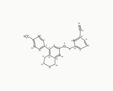 Cc1ncc(-c2cc(OCc3cccc(C#N)n3)nc3c2CCCC3)cn1